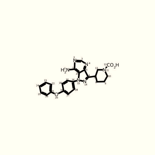 Nc1ncnc2c(C3CCCN(C(=O)O)C3)nn(-c3ccc(Oc4ccccc4)cc3)c12